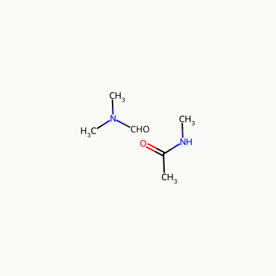 CN(C)C=O.CNC(C)=O